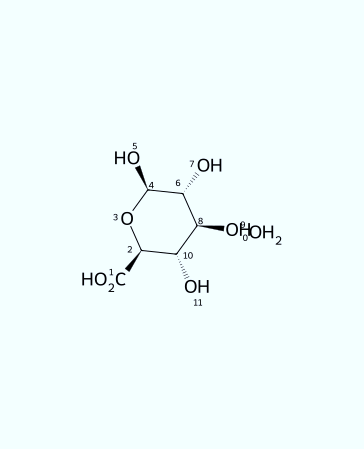 O.O=C(O)[C@H]1O[C@@H](O)[C@H](O)[C@@H](O)[C@@H]1O